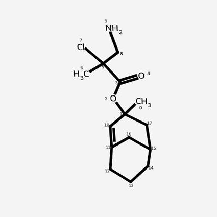 CC1(OC(=O)C(C)(Cl)CN)C=C2CCCC(C2)C1